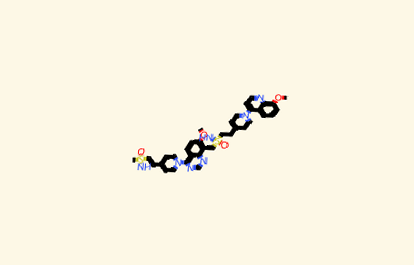 COc1ccc2c(N3CCC(CCS(C)(=N)=O)CC3)ncnc2c1CS(=N)(=O)CCC1CCN(c2ccnc3c(OC)cccc23)CC1